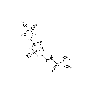 C=C(C)C(=O)NCCC[N+](C)(C)CC(O)CCS(=O)(=O)[O-]